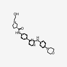 O=C(Nc1ccc(-c2ccnc(Nc3ccc(N4CCOCC4)cc3)n2)cc1)[C@H]1CCN(CCO)C1